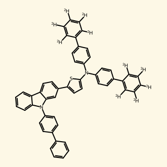 [2H]c1c([2H])c([2H])c(-c2ccc(N(c3ccc(-c4c([2H])c([2H])c([2H])c([2H])c4[2H])cc3)c3ccc(-c4ccc5c6ccccc6n(-c6ccc(-c7ccccc7)cc6)c5c4)s3)cc2)c([2H])c1[2H]